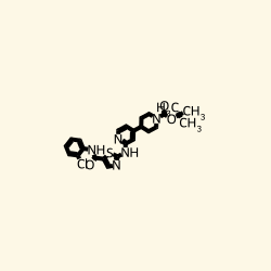 CC(C)(C)OC(=O)N1CCC(c2ccnc(Nc3ncc(C(=O)Nc4ccccc4Cl)s3)c2)CC1